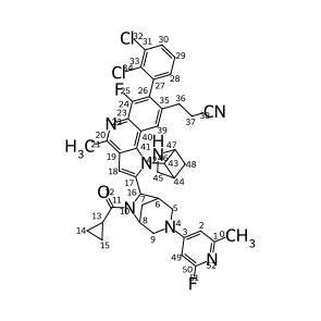 Cc1cc(N2CC3CC(C2)N(C(=O)C2CC2)C3c2cc3c(C)nc4c(F)c(-c5cccc(Cl)c5Cl)c(CCC#N)cc4c3n2C2C3CNC2C3)cc(F)n1